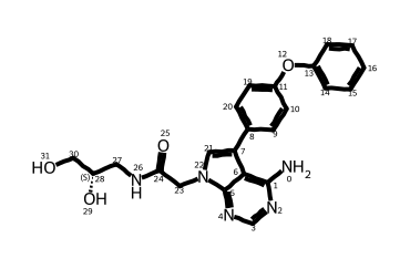 Nc1ncnc2c1c(-c1ccc(Oc3ccccc3)cc1)cn2CC(=O)NC[C@H](O)CO